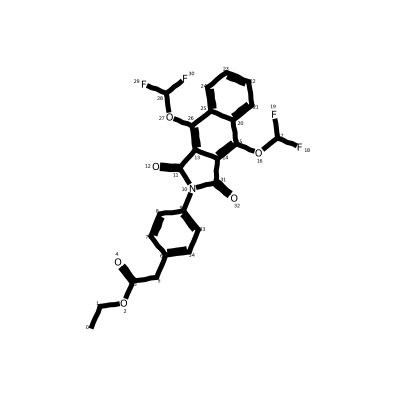 CCOC(=O)Cc1ccc(N2C(=O)c3c(c(OC(F)F)c4ccccc4c3OC(F)F)C2=O)cc1